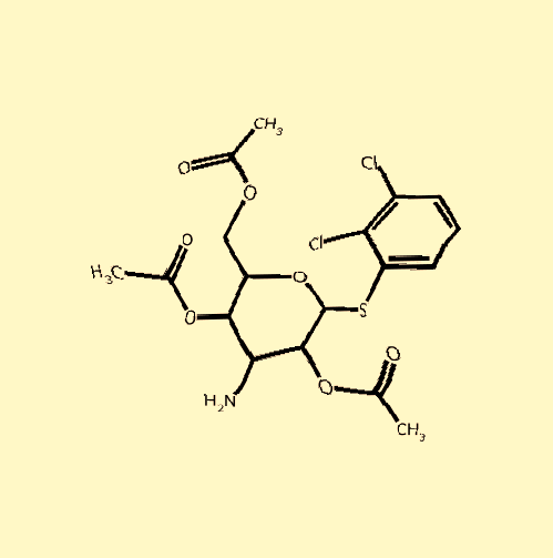 CC(=O)OCC1OC(Sc2cccc(Cl)c2Cl)C(OC(C)=O)C(N)C1OC(C)=O